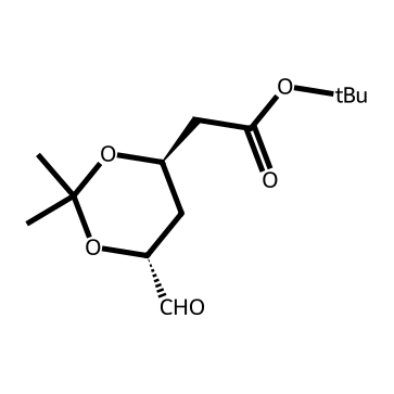 CC(C)(C)OC(=O)C[C@H]1C[C@H](C=O)OC(C)(C)O1